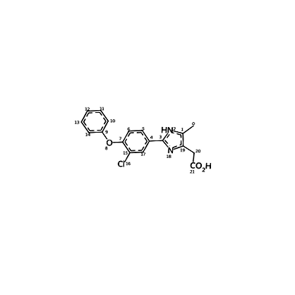 Cc1[nH]c(-c2ccc(Oc3ccccc3)c(Cl)c2)nc1CC(=O)O